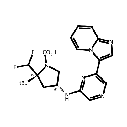 CC(C)(C)[C@]1(C(F)F)C[C@@H](Nc2cncc(-c3cnc4ccccn34)n2)CN1C(=O)O